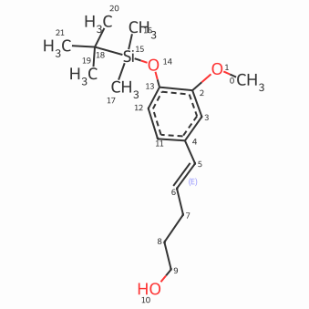 COc1cc(/C=C/CCCO)ccc1O[Si](C)(C)C(C)(C)C